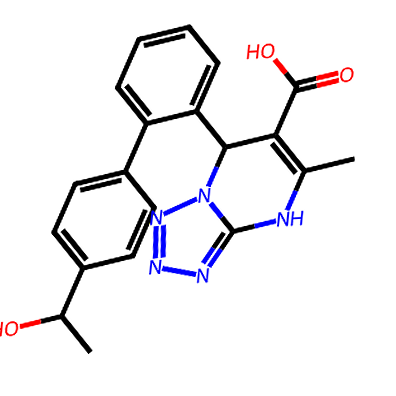 CC1=C(C(=O)O)C(c2ccccc2-c2ccc(C(C)O)cc2)n2nnnc2N1